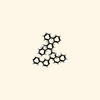 c1ccc(-c2cccc(-c3nc(-c4cc5c6ccccc6c6ccccc6c5c5sc6ccccc6c45)nc4c3ccc3ccccc34)c2)cc1